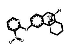 O=[N+]([O-])c1cccnc1Oc1ccc2c(c1)[C@@]13CCCC[C@H]1[C@@H](C2)NCC3